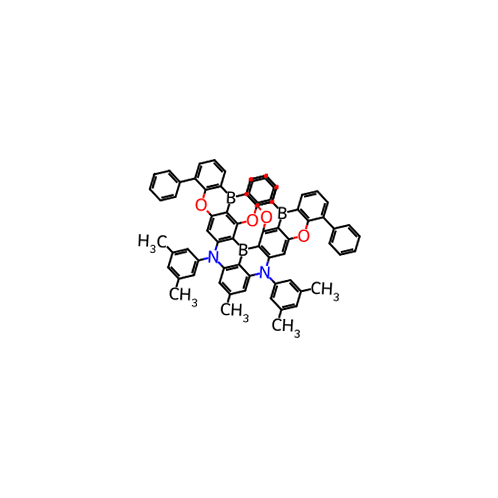 Cc1cc(C)cc(N2c3cc(C)cc4c3B(c3c2cc2c5c3Oc3ccccc3B5c3cccc(-c5ccccc5)c3O2)c2c(cc3c5c2Oc2ccccc2B5c2cccc(-c5ccccc5)c2O3)N4c2cc(C)cc(C)c2)c1